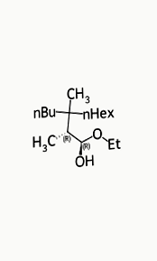 CCCCCCC(C)(CCCC)[C@@H](C)[C@H](O)OCC